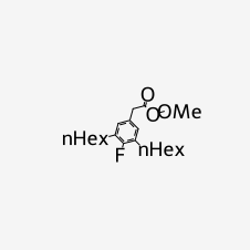 CCCCCCc1cc(CC(=O)OOC)cc(CCCCCC)c1F